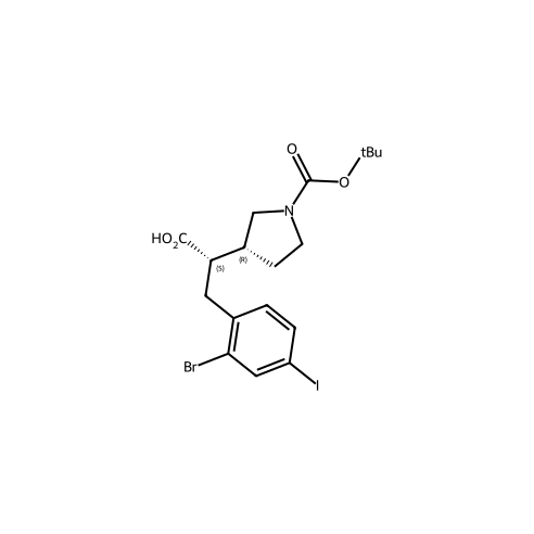 CC(C)(C)OC(=O)N1CC[C@H]([C@H](Cc2ccc(I)cc2Br)C(=O)O)C1